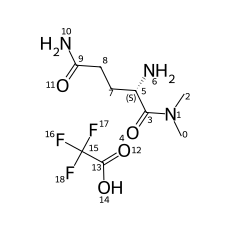 CN(C)C(=O)[C@@H](N)CCC(N)=O.O=C(O)C(F)(F)F